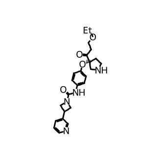 CCOCCC(=O)[C@@]1(Oc2ccc(NC(=O)N3CC(c4cccnc4)C3)cc2)CCNC1